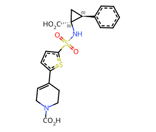 O=C(O)N1CC=C(c2ccc(S(=O)(=O)N[C@@]3(C(=O)O)C[C@H]3c3ccccc3)s2)CC1